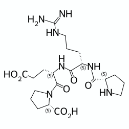 N=C(N)NCCC[C@H](NC(=O)[C@@H]1CCCN1)C(=O)N[C@@H](CCC(=O)O)C(=O)N1CCC[C@H]1C(=O)O